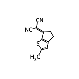 Cc1cc2c(s1)C(=C(C#N)C#N)CC2